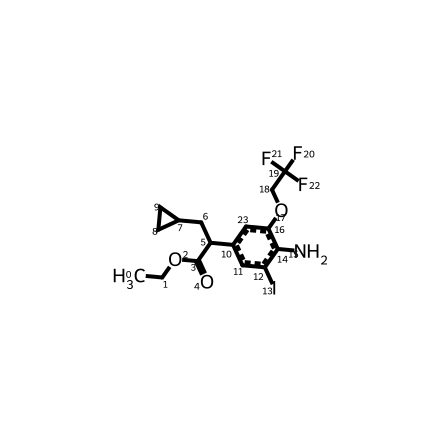 CCOC(=O)C(CC1CC1)c1cc(I)c(N)c(OCC(F)(F)F)c1